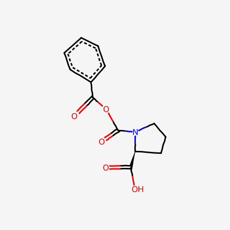 O=C(OC(=O)N1CCC[C@H]1C(=O)O)c1ccccc1